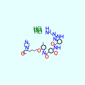 COc1cc(C(=O)N(C)c2ccc(C)cc2OCCCCC(=C=O)N2CCN(C)CC2)ccc1NC(=O)c1cccc2[nH]c(N(C)CCN)nc12.Cl.Cl.Cl